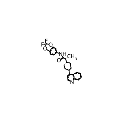 C[C@@H](C(=O)Nc1ccc2c(c1)OC(F)(F)O2)[C@H]1CC[C@H](c2ccnc3ccccc32)CC1